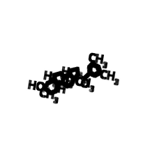 Cc1cc(C)cc(C(=O)[C@H]2CC[C@H]3[C@@H]4CC[C@H]5C[C@](C)(O)CC[C@]5(C)[C@H]4CC[C@]23C)c1